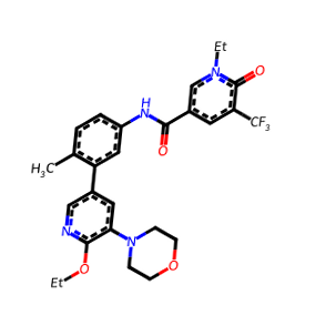 CCOc1ncc(-c2cc(NC(=O)c3cc(C(F)(F)F)c(=O)n(CC)c3)ccc2C)cc1N1CCOCC1